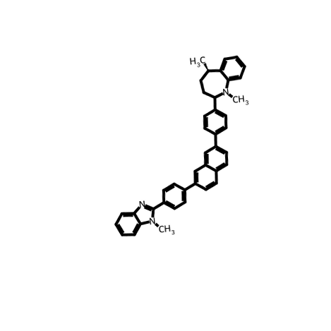 C[C@@H]1CCC(c2ccc(-c3ccc4ccc(-c5ccc(-c6nc7ccccc7n6C)cc5)cc4c3)cc2)N(C)c2ccccc21